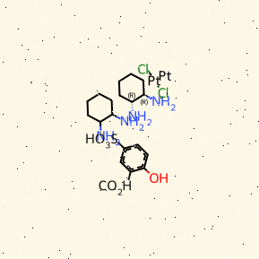 NC1CCCCC1N.N[C@@H]1CCCC[C@H]1N.O=C(O)c1cc(S(=O)(=O)O)ccc1O.[Cl][Pt][Cl].[Pt]